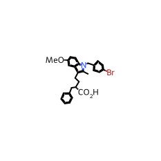 COc1ccc2c(c1)c(CCC(Cc1ccccc1)C(=O)O)c(C)n2Cc1ccc(Br)cc1